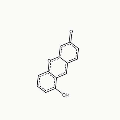 O=c1ccc2cc3c(O)cccc3oc-2c1